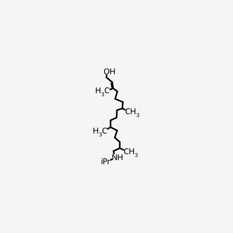 C/C(=C\CO)CCCC(C)CCCC(C)CCCC(C)CNC(C)C